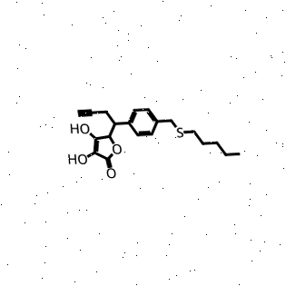 C#CCC(c1ccc(CSCCCCC)cc1)C1OC(=O)C(O)=C1O